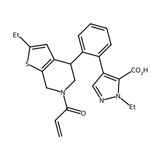 C=CC(=O)N1Cc2sc(CC)cc2C(c2ccccc2-c2cnn(CC)c2C(=O)O)C1